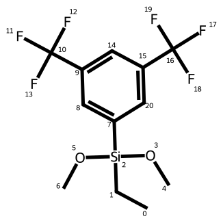 CC[Si](OC)(OC)c1cc(C(F)(F)F)cc(C(F)(F)F)c1